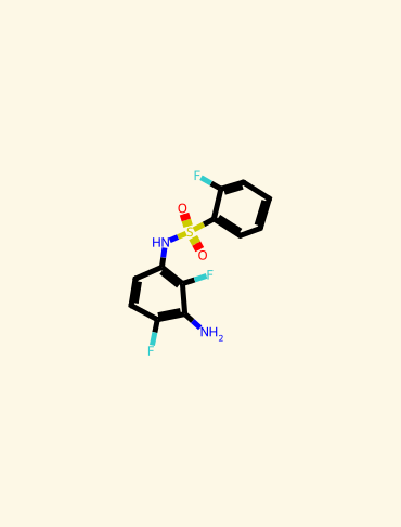 Nc1c(F)ccc(NS(=O)(=O)c2ccccc2F)c1F